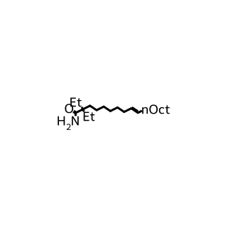 CCCCCCCCC=CCCCCCCC(CC)(CC)C(N)=O